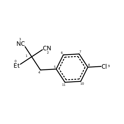 CCC(C#N)(C#N)Cc1ccc(Cl)cc1